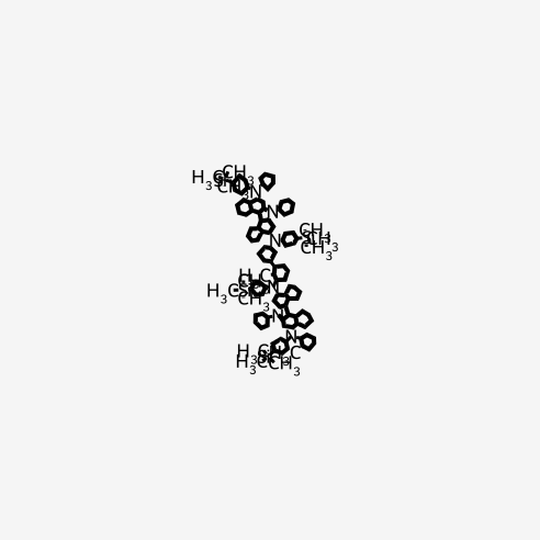 Cc1ccccc1N(c1ccc([Si](C)(C)C)cc1)c1cc2c(c3ccccc13)c1c3ccccc3c(N(c3ccc([Si](C)(C)C)cc3)c3cccc(-c4cccc(N(c5ccc([Si](C)(C)C)cc5)c5cc6c(c7ccccc57)c5c7ccccc7c(N(c7ccccc7)c7ccc([Si](C)(C)C)cc7)cc5n6-c5ccccc5)c4)c3C)cc1n2-c1ccccc1